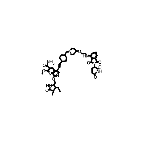 CCC1C(COc2ncc(C#CC3CCC(CN4CCC(OCCNc5cccc6c5C(=O)N(C5CCC(=O)NC5=O)C6=O)CC4)CC3)c3cc(C(N)=O)c(OC)nc23)NC(=O)C1F